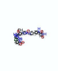 COc1cc(N2CCN(C(=O)CN3CCC(c4ccc(NC5CCC(=O)NC5=O)cc4)CC3)CC2)ccc1Nc1ncc(Cl)c(Nc2cccc3c2NC(=O)OC3)n1